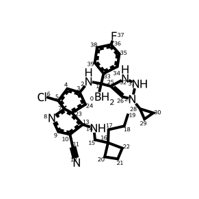 BC(Nc1cc(Cl)c2ncc(C#N)c(NCC3(CCC)CCC3)c2c1)(C1=CN(C2CC2)NN1)c1ccc(F)cc1